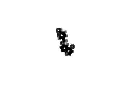 O=c1ccoc2ccc(OCc3ccc(Cl)nc3)cc12